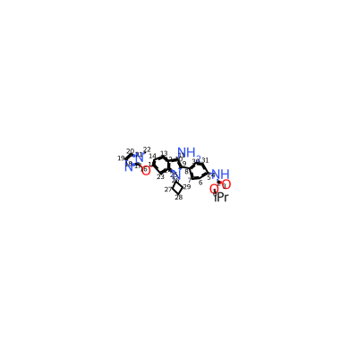 CC(C)OC(=O)Nc1ccc(-c2c(N)c3ccc(Oc4nccn4C)cc3n2C2CCC2)cc1